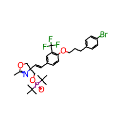 CC1=NC(/C=C/c2ccc(OCCCc3ccc(Br)cc3)c(C(F)(F)F)c2)(COP(=O)(C(C)(C)C)C(C)(C)C)CO1